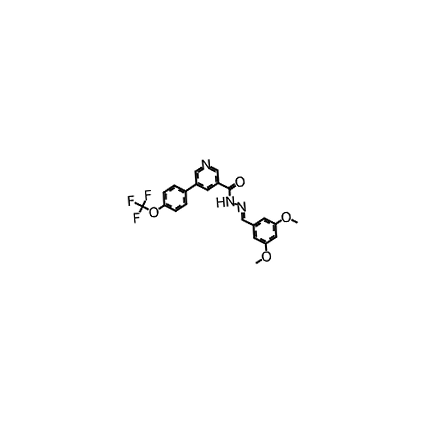 COc1cc(C=NNC(=O)c2cncc(-c3ccc(OC(F)(F)F)cc3)c2)cc(OC)c1